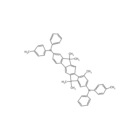 Cc1ccc(N(c2ccccc2)c2ccc3c(c2)C(C)(C)c2cc4c(cc2-3)C(C)(C)c2cc(N(c3ccccc3)c3ccc(C)cc3)cc(C)c2-4)cc1